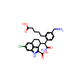 NCc1ccc(C(C(N)=O)C2CCc3cc(Cl)cc4[nH]c(C(=O)O)c2c34)c(CCCCC(=O)O)c1